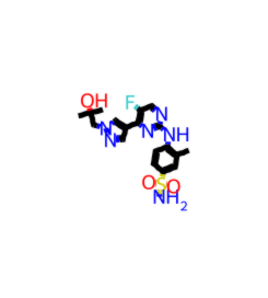 Cc1cc(S(N)(=O)=O)ccc1Nc1ncc(F)c(-c2cnn(CC(C)(C)O)c2)n1